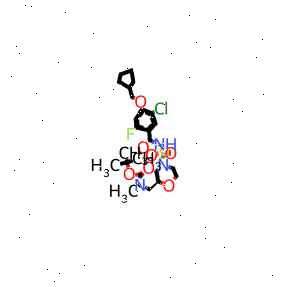 CN(C[C@H]1CN(S(=O)(=O)NC(=O)c2cc(Cl)c(OCC3CCCC3)cc2F)CCO1)C(=O)OC(C)(C)C